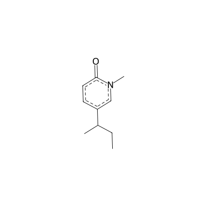 CCC(C)c1ccc(=O)n(C)c1